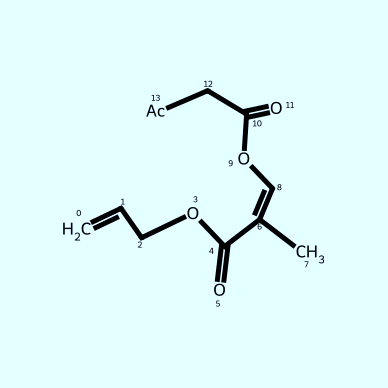 C=CCOC(=O)C(C)=COC(=O)CC(C)=O